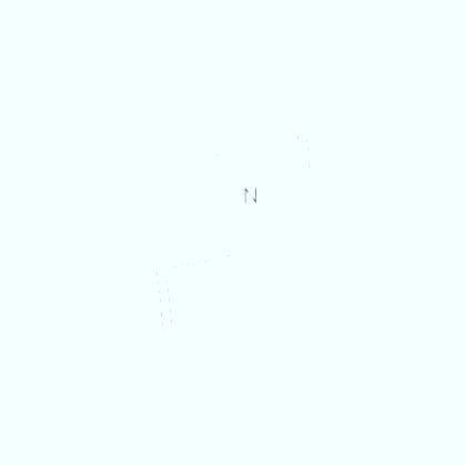 [C]1=C(n2cccc2)C=CC1